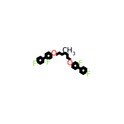 CC(CCCOc1ccc(-c2ccc(F)cc2)c(F)c1)CCCOc1ccc(-c2ccc(F)cc2)c(F)c1